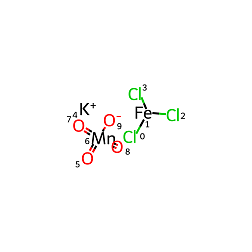 [Cl][Fe]([Cl])[Cl].[K+].[O]=[Mn](=[O])(=[O])[O-]